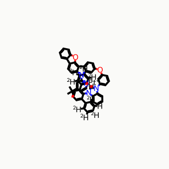 [2H]c1c([2H])c([2H])c(-c2cccc(-c3c([2H])c([2H])c([2H])c([2H])c3[2H])c2N2c3ccccc3N(c3cccc(Oc4ccc5c6c7oc8ccccc8c7ccc6n(-c6cc(C(C)(C)C)ccn6)c5c4)c3)[CH]2[Pt+])c([2H])c1[2H]